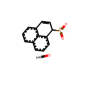 O=[SH](=O)C1C=Cc2cccc3cccc1c23.[O]=[AlH]